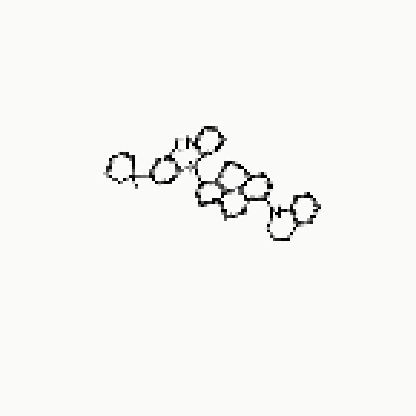 CC1(c2ccc(N(c3ccccc3)c3ccc4ccc5c(N6CCCc7ccccc76)ccc6ccc3c4c65)c(C#N)c2)C=CC=CC1